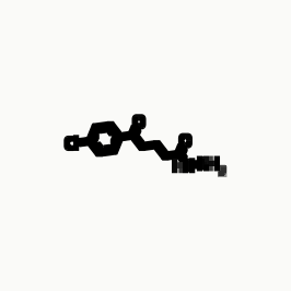 NNC(=O)CCCC(=O)c1ccc(Cl)cc1